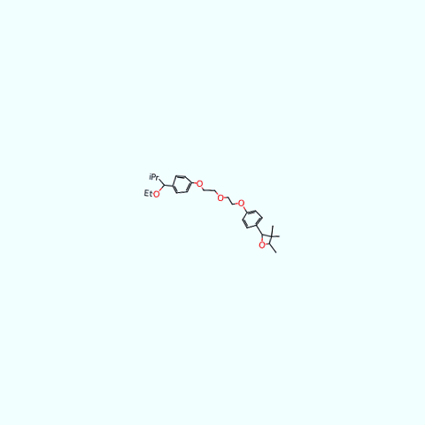 CCOC(c1ccc(OCCOCCOc2ccc(C3OC(C)C3(C)C)cc2)cc1)C(C)C